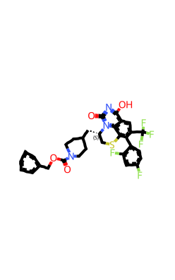 O=C(OCc1ccccc1)N1CCC(C[C@H]2CSc3c(-c4ccc(F)cc4F)c(C(F)(F)F)cc4c(O)nc(=O)n2c34)CC1